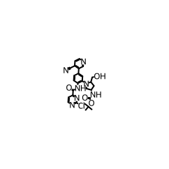 CC(C)(C)OC(=O)N[C@H]1CC(CO)N(c2cc(-c3cnccc3C#N)ccc2NC(=O)c2ccnc(Cl)n2)C1